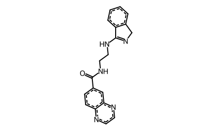 O=C(NCCNC1=NCc2ccccc21)c1ccc2nccnc2c1